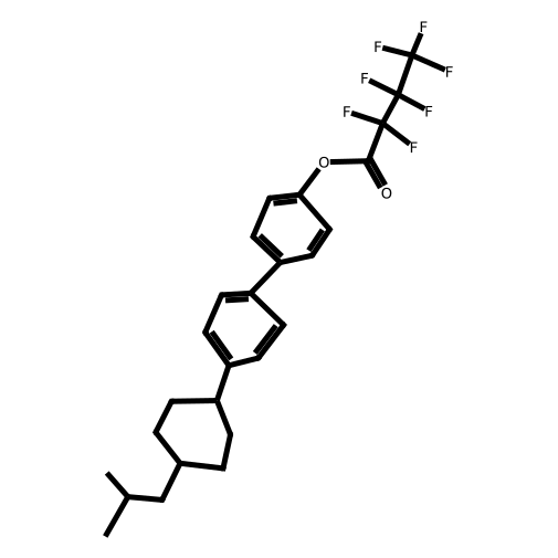 CC(C)CC1CCC(c2ccc(-c3ccc(OC(=O)C(F)(F)C(F)(F)C(F)(F)F)cc3)cc2)CC1